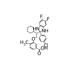 Cc1ccc(C(=O)O)cc1OCC(C1CCCCC1)C1(c2ccc(Cl)cc2)Nc2cc(F)c(F)cc2N1